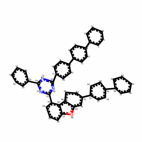 c1ccc(-c2ccc(-c3ccc(-c4nc(-c5ccccc5)nc(-c5cccc6oc7cc(-c8ccc(-c9ccccc9)cc8)ccc7c56)n4)cc3)cc2)cc1